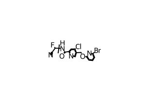 CC(C)(NC(=O)c1cc(Cl)c(COc2cccc(Br)n2)cn1)C(F)C#N